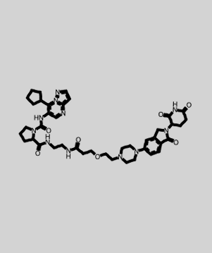 O=C(CCOCCN1CCN(c2ccc3c(c2)CN(C2CCC(=O)NC2=O)C3=O)CC1)NCCNC(=O)C1CCCN1C(=O)Nc1cnc2ccnn2c1C1CCCC1